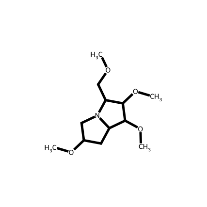 COCC1C(OC)C(OC)C2CC(OC)CN12